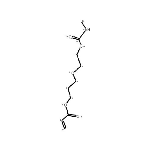 C=CC(=O)OCCCOCCOC(=O)NC